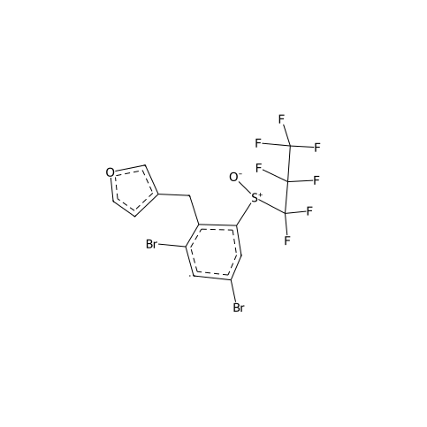 [O-][S+](c1cc(Br)[c]c(Br)c1Cc1ccoc1)C(F)(F)C(F)(F)C(F)(F)F